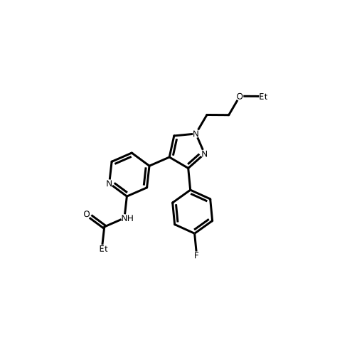 CCOCCn1cc(-c2ccnc(NC(=O)CC)c2)c(-c2ccc(F)cc2)n1